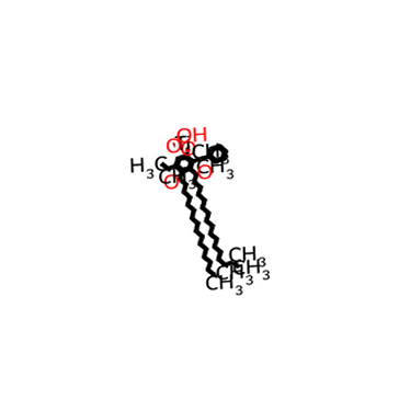 CC(C)CCCCCCCCCCCCCCC(=O)c1c(C(C)C)cc([O][Ti](=[O])[OH])c(C(C)(C)c2ccccc2)c1C(=O)CCCCCCCCCCCCCCC(C)C